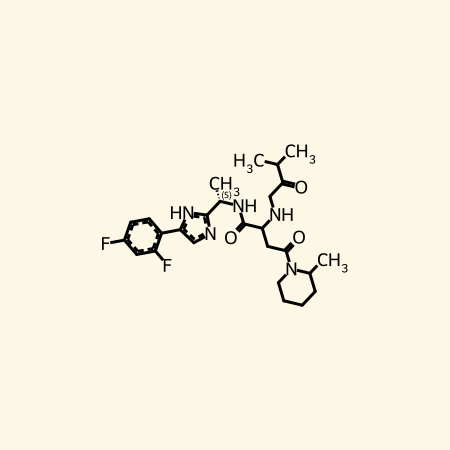 CC(C)C(=O)CNC(CC(=O)N1CCCCC1C)C(=O)N[C@@H](C)c1ncc(-c2ccc(F)cc2F)[nH]1